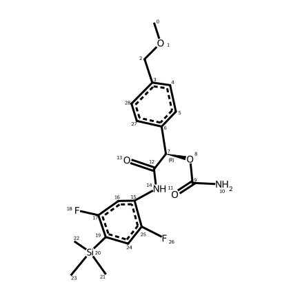 COCc1ccc([C@@H](OC(N)=O)C(=O)Nc2cc(F)c([Si](C)(C)C)cc2F)cc1